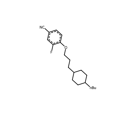 CCCCC1CCC(CCCOc2ccc(C#N)cc2F)CC1